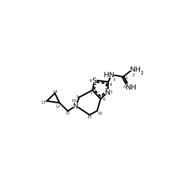 N=C(N)Nc1nc2c(s1)CN(CC1CC1)CC2